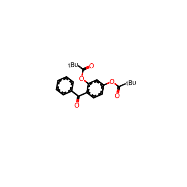 CC(C)(C)C(=O)Oc1ccc(C(=O)c2ccccc2)c(OC(=O)C(C)(C)C)c1